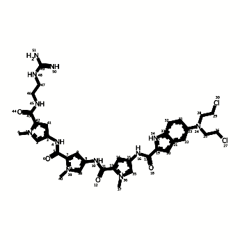 Cn1cc(NC(=O)c2cc(NC(=O)c3cc(NC(=O)c4cc5cc(N(CCCl)CCCl)ccc5[nH]4)cn3C)cn2C)cc1C(=O)NCCNC(=N)N